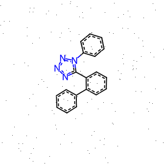 c1ccc(-c2ccccc2-c2nnnn2-c2ccccc2)cc1